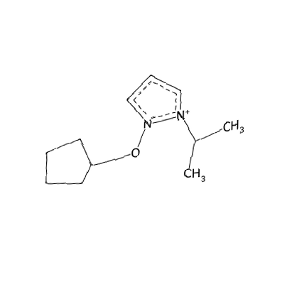 CC(C)[n+]1cccn1OC1CCCC1